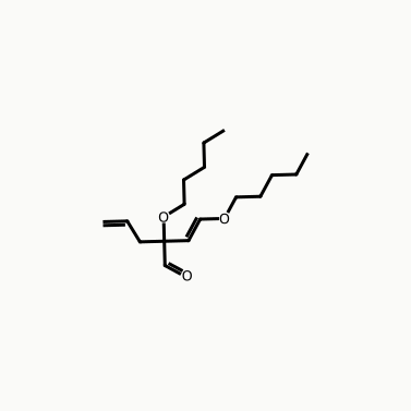 C=CCC(C=O)(C=COCCCCC)OCCCCC